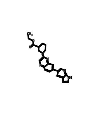 CCOC(=O)C1CCCN(c2cnc3ccc(-c4cnc5[nH]ccc5c4)cc3n2)C1